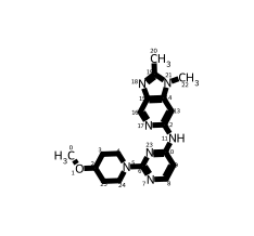 COC1CCN(c2nccc(Nc3cc4c(cn3)nc(C)n4C)n2)CC1